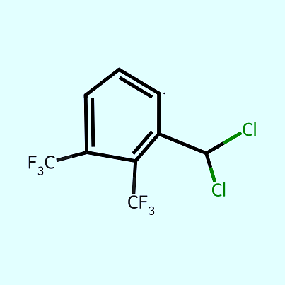 FC(F)(F)c1cc[c]c(C(Cl)Cl)c1C(F)(F)F